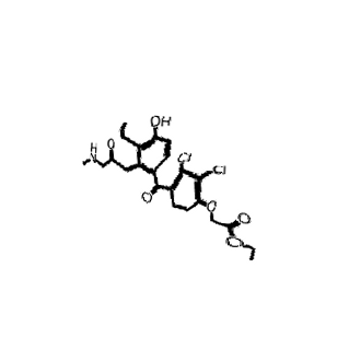 CCOC(=O)COc1ccc(C(=O)c2ccc(O)c(CC)c2CC(=O)CNC)c(Cl)c1Cl